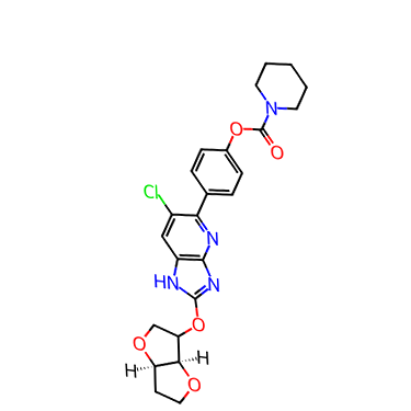 O=C(Oc1ccc(-c2nc3nc(OC4CO[C@@H]5CCO[C@H]45)[nH]c3cc2Cl)cc1)N1CCCCC1